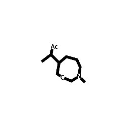 CC(=O)C(C)C1CCCN(C)CCC1